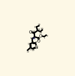 CCOC(=O)/C(=C\c1cncc(C)c1)C(=O)C(CC)CC